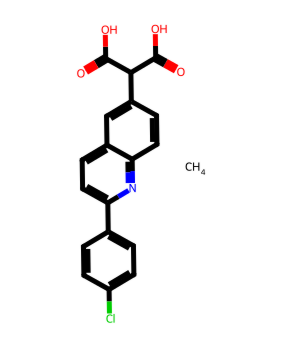 C.O=C(O)C(C(=O)O)c1ccc2nc(-c3ccc(Cl)cc3)ccc2c1